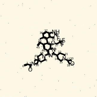 C=CC(=O)N1CC2(CCN(c3nc(C4CCN(C5COC5)CC4)nc4c(OCC(F)(F)F)c(-c5c(C)ccc6[nH]ncc56)c(C=C)cc34)CC2)C1